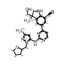 Cc1cc(Nc2nccc(-c3cc(C#N)c4c(c3)C(C)(CO)CN4)n2)n(CC2CCCO2)n1